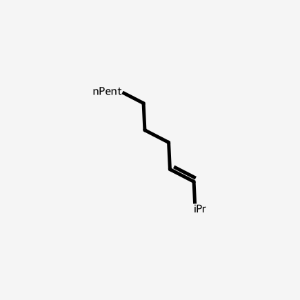 CCCCCCCCC=CC(C)C